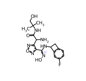 CC(C)(CO)NC(=O)C(N)c1nonc1/C(=N\O)NC1Cc2ccc(F)cc21